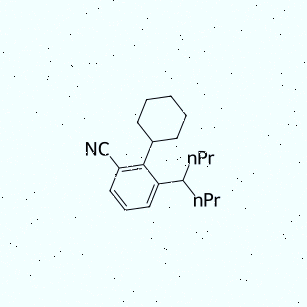 CCCC(CCC)c1cccc(C#N)c1C1CCCCC1